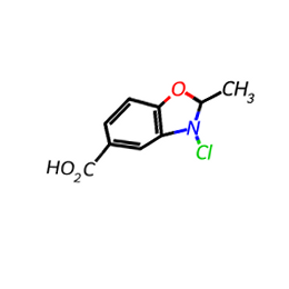 CC1Oc2ccc(C(=O)O)cc2N1Cl